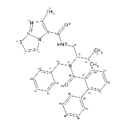 Cc1nc2sccn2c1C(=O)NCC(C(C)C)N(Cc1ccccc1)C(=O)c1ccccc1-c1ccccc1